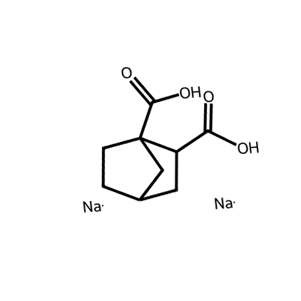 O=C(O)C1CC2CCC1(C(=O)O)C2.[Na].[Na]